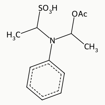 CC(=O)OC(C)N(c1ccccc1)C(C)S(=O)(=O)O